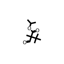 CC(C)OC(=O)C(C)(C=O)C(C)(C)C